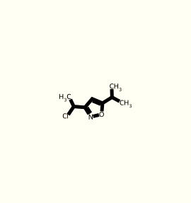 CC(C)c1cc(C(C)Cl)no1